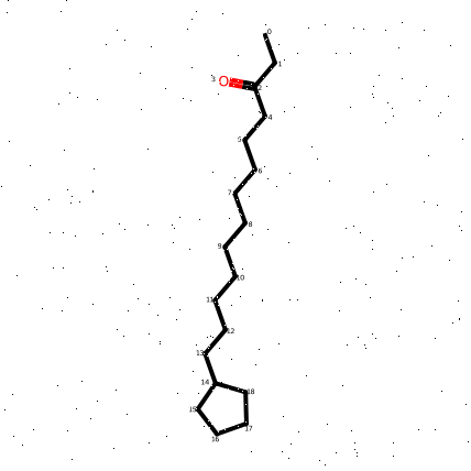 CCC(=O)CCCCCCCCCCC1CCCC1